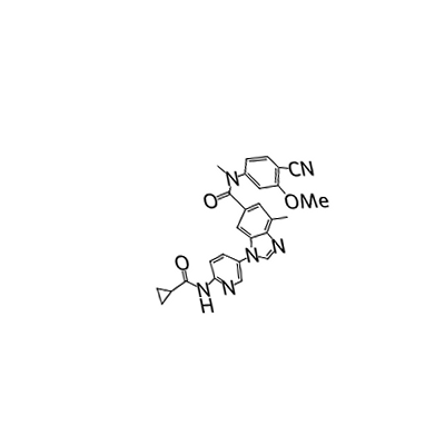 COc1cc(N(C)C(=O)c2cc(C)c3ncn(-c4ccc(NC(=O)C5CC5)nc4)c3c2)ccc1C#N